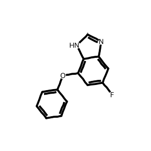 Fc1cc(Oc2ccccc2)c2[nH][c]nc2c1